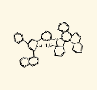 CC12C=CC=CC1c1c3c(c4ccccc4c1N2c1cccc(C2C=C(c4ccccc4)C=C(c4cccc5ccccc45)N2)c1)C=CC1C=CC=CC31